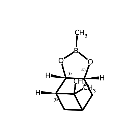 CB1O[C@H]2[C@H]3CC(C[C@H]2O1)C3(C)C